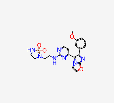 COc1cccc(-c2nc3occn3c2-c2ccnc(NCCN3CCNS3(=O)=O)n2)c1